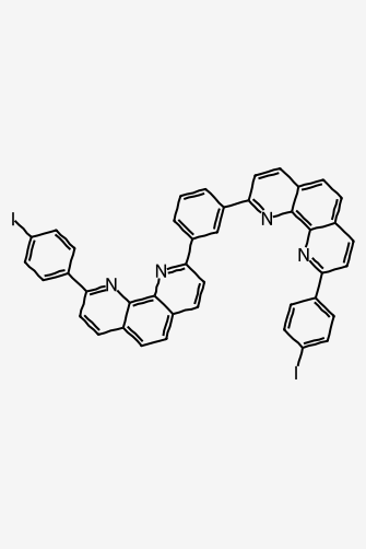 Ic1ccc(-c2ccc3ccc4ccc(-c5cccc(-c6ccc7ccc8ccc(-c9ccc(I)cc9)nc8c7n6)c5)nc4c3n2)cc1